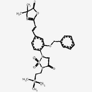 CC1(C)N=C(C=Cc2ccc(N3CC(=O)N(CC[Si](C)(C)C)S3(=O)=O)c(OCc3ccccc3)c2)OC1=O